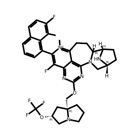 Cc1c(F)ccc2cccc(-c3c(F)c4nc(OC[C@]56CCCN5C[C@H](OC(F)(F)F)C6)nc5c4c([n+]3C)CC[C@@H]3[C@@H]4CC[C@H](CN53)N4)c12